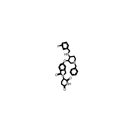 O=C1CCC(N2Cc3cc(OC4CN(Cc5ccccc5)CCC4NCc4cccc(F)c4)ccc3C2=O)C(=O)N1